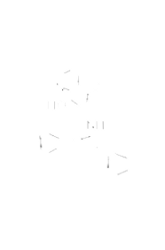 O=C(COc1ccccc1)NC(CCc1ccccc1)c1cc(Cl)c2cccnc2c1O